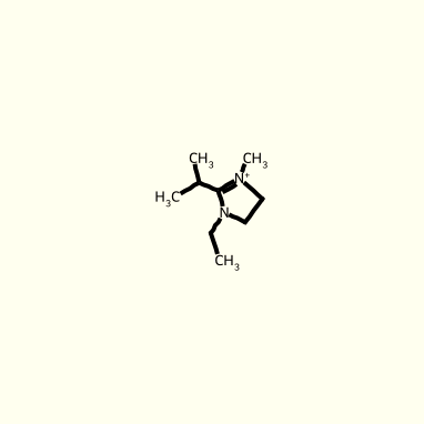 CCN1CC[N+](C)=C1C(C)C